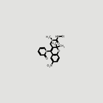 CCNC(=O)N(C)CC1=C(n2ccccc2=O)c2cc([N+](=O)[O-])ccc2OC1(C)C